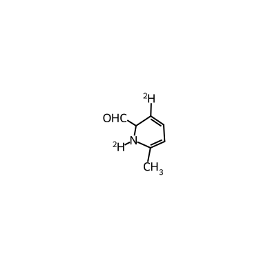 [2H]C1=CC=C(C)N([2H])C1C=O